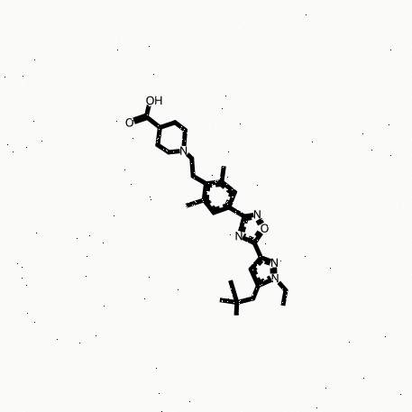 CCn1nc(-c2nc(-c3cc(C)c(CCN4CCC(C(=O)O)CC4)c(C)c3)no2)cc1CC(C)(C)C